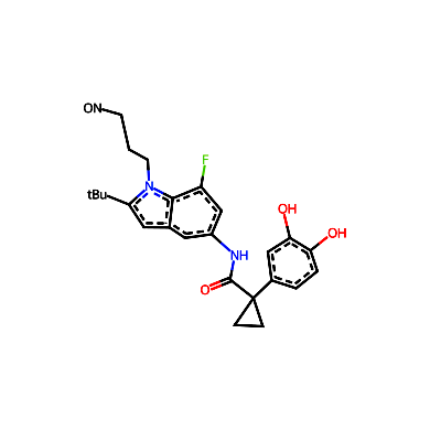 CC(C)(C)c1cc2cc(NC(=O)C3(c4ccc(O)c(O)c4)CC3)cc(F)c2n1CCCN=O